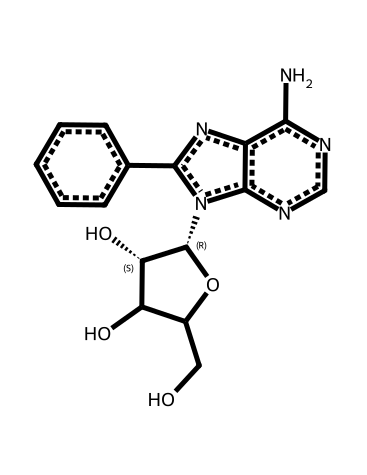 Nc1ncnc2c1nc(-c1ccccc1)n2[C@@H]1OC(CO)C(O)[C@@H]1O